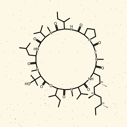 CCC(C)C1NC(=O)C2CCCN2C(=O)CN(C)C(=O)C(C[C@H](C)C[C@H](C)C[C@H](C)CC)NC(=O)C(C(C)C)N(C)C(=O)C(C(C)CC)OC(=O)C(C(C)(C)O)N(C)C(=O)C(CC(C)C)NC(=O)C(C(C)C)N(C)C1=O